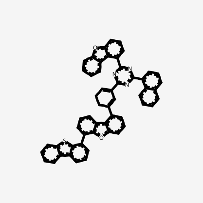 C1=C(c2nc(-c3cccc4ccccc34)nc(-c3cccc4oc5ccccc5c34)n2)C=C(c2cccc3oc4c(-c5cccc6c5sc5ccccc56)cccc4c23)CC1